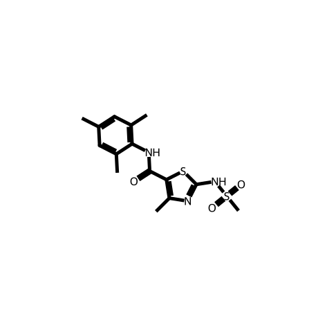 Cc1cc(C)c(NC(=O)c2sc(NS(C)(=O)=O)nc2C)c(C)c1